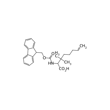 C=CCCCC(C)(C)C(NC(=O)OCC1c2ccccc2-c2ccccc21)C(=O)O